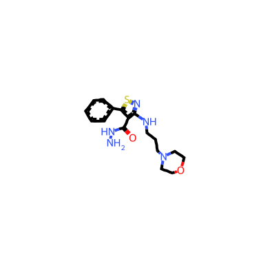 NNC(=O)c1c(NCCCN2CCOCC2)nsc1-c1ccccc1